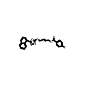 O=C(OC/C=C/CSc1nnc(-c2cccc3ccccc23)o1)c1ccc(F)cc1